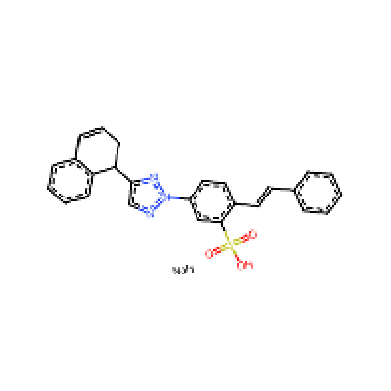 O=S(=O)(O)c1cc(-n2ncc(C3CC=Cc4ccccc43)n2)ccc1C=Cc1ccccc1.[NaH]